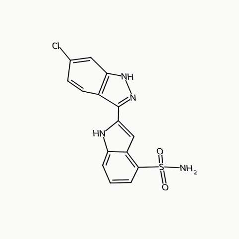 NS(=O)(=O)c1cccc2[nH]c(-c3n[nH]c4cc(Cl)ccc34)cc12